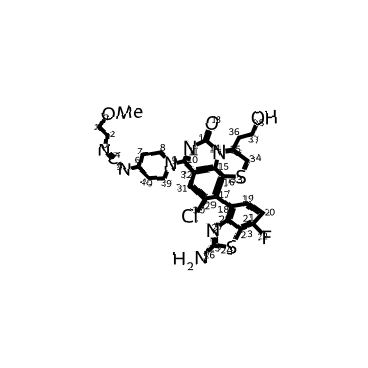 COCCN=C=NC1CCN(c2nc(=O)n3c4c(c(-c5ccc(F)c6sc(N)nc56)c(Cl)cc24)SCC3CCO)CC1